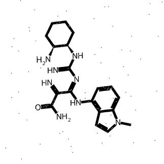 Cn1ccc2c(N/C(=N/C(=N)N[C@@H]3CCCC[C@@H]3N)C(=N)C(N)=O)cccc21